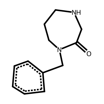 O=C1CNCCCN1Cc1ccccc1